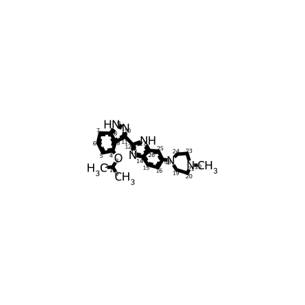 CC(C)Oc1cccc2[nH]nc(-c3nc4ccc(N5CCN(C)CC5)cc4[nH]3)c12